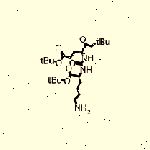 CC(C)(C)CC(=O)[C@H](CCC(=O)OC(C)(C)C)NC(=O)N[C@@H](CCCCN)C(=O)OC(C)(C)C